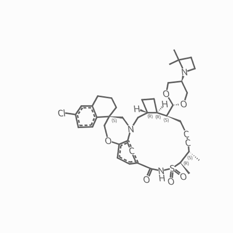 C[C@@H]1[C@@H](C)CCC[C@H]([C@H]2OC[C@H](N3CCC3(C)C)CO2)[C@@H]2CC[C@H]2CN2C[C@@]3(CCCc4cc(Cl)ccc43)COc3ccc(cc32)C(=O)NS1(=O)=O